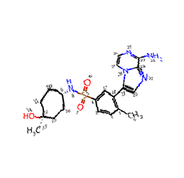 Cc1ccc(S(=O)(=O)N[C@H]2CC[C@](C)(O)CC2)cc1-c1cnc2c(N)nccn12